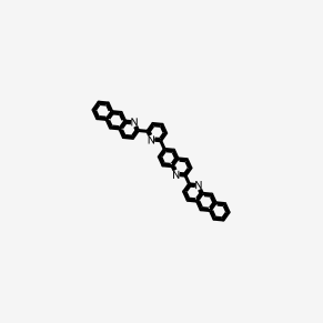 c1cc(-c2ccc3nc(-c4ccc5cc6ccccc6cc5n4)ccc3c2)nc(-c2ccc3cc4ccccc4cc3n2)c1